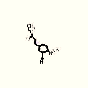 CCOC(=O)/C=C/c1ccc(N=[N+]=[N-])c(C#N)c1